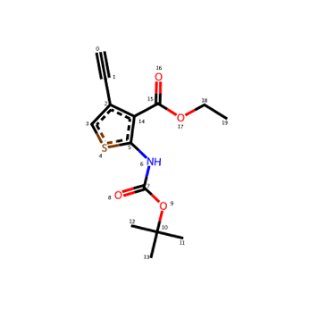 C#Cc1csc(NC(=O)OC(C)(C)C)c1C(=O)OCC